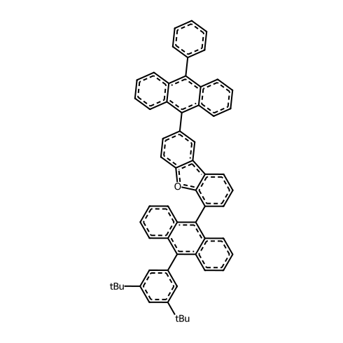 CC(C)(C)c1cc(-c2c3ccccc3c(-c3cccc4c3oc3ccc(-c5c6ccccc6c(-c6ccccc6)c6ccccc56)cc34)c3ccccc23)cc(C(C)(C)C)c1